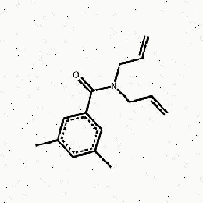 C=CCN(CC=C)C(=O)c1cc(C)cc(C)c1